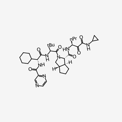 CCC[C@H](NC(=O)[C@@H]1[C@H]2CCC[C@@H]2CN1C(=O)C(NC(=O)[C@H](NC(=O)c1cnccn1)C1CCCCC1)C(C)(C)C)C(=O)C(=O)NC1CC1